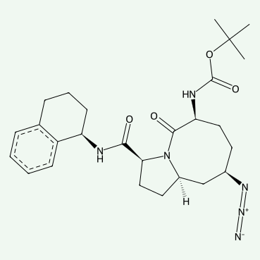 CC(C)(C)OC(=O)N[C@H]1CC[C@@H](N=[N+]=[N-])C[C@H]2CC[C@@H](C(=O)N[C@@H]3CCCc4ccccc43)N2C1=O